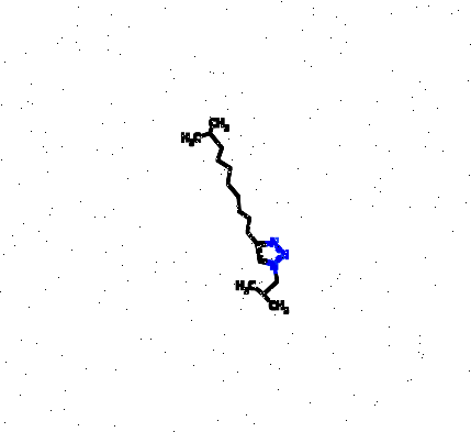 CC(C)CCCCCCCCc1cn(CC(C)C)nn1